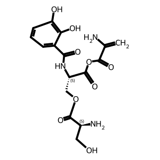 C=C(N)C(=O)OC(=O)[C@H](COC(=O)[C@@H](N)CO)NC(=O)c1cccc(O)c1O